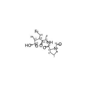 CC(NC(=O)C1CCCN1C=O)C(=O)C(CF)C(C)C(=O)O